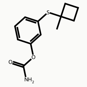 CC1(Sc2cccc(OC(N)=O)c2)CCC1